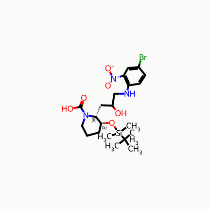 CC(C)(C)[Si](C)(C)O[C@H]1CCCN(C(=O)O)[C@@H]1CC(O)CNc1ccc(Br)cc1[N+](=O)[O-]